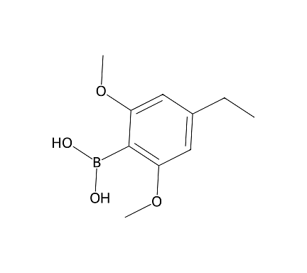 CCc1cc(OC)c(B(O)O)c(OC)c1